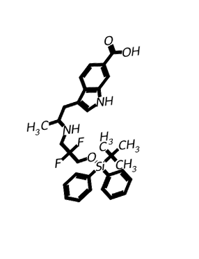 CC(Cc1c[nH]c2cc(C(=O)O)ccc12)NCC(F)(F)CO[Si](c1ccccc1)(c1ccccc1)C(C)(C)C